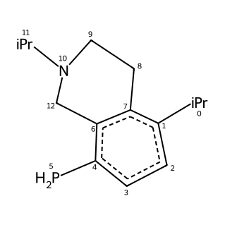 CC(C)c1ccc(P)c2c1CCN(C(C)C)C2